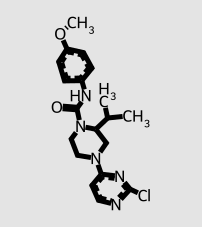 COc1ccc(NC(=O)N2CCN(c3ccnc(Cl)n3)CC2C(C)C)cc1